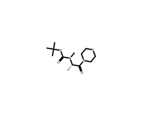 C[C@@H](C(=O)N1CCSCC1)N(C)C(=O)OC(C)(C)C